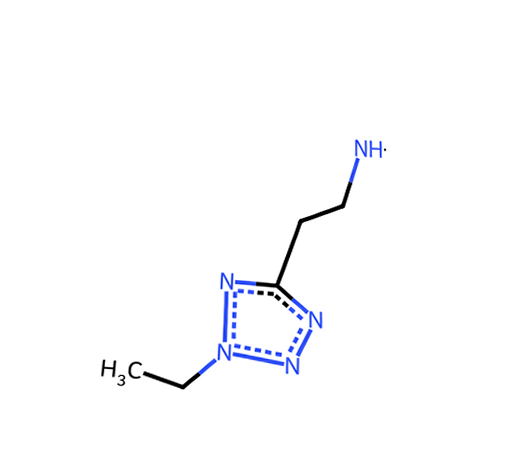 CCn1nnc(CC[NH])n1